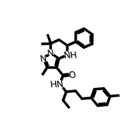 CCC(CCc1ccc(C)cc1)NC(=O)c1c(C)nn2c1NC(c1ccccc1)CC2(C)C